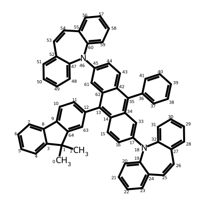 CC1(C)c2ccccc2-c2ccc(-c3c4ccc(N5c6ccccc6C=Cc6ccccc65)cc4c(-c4ccccc4)c4ccc(N5c6ccccc6C=Cc6ccccc65)cc34)cc21